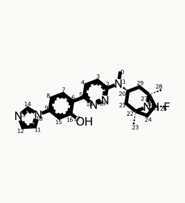 CN(c1ccc(-c2ccc(-n3ccnc3)cc2O)nn1)[C@H]1C[C@]2(C)C[C@@H](F)[C@](C)(C1)N2